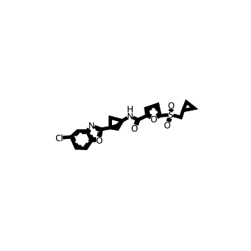 O=C(NC12CC(c3nc4cc(Cl)ccc4o3)(C1)C2)c1ccc(S(=O)(=O)CC2CC2)o1